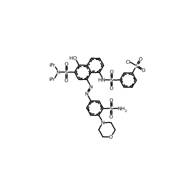 CC(C)N(C(C)C)S(=O)(=O)c1cc(N=Nc2ccc(N3CCOCC3)c(S(N)(=O)=O)c2)c2c(NS(=O)(=O)c3cccc(S(=O)(=O)Cl)c3)cccc2c1O